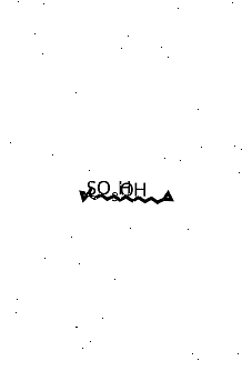 O=S(=O)(O)C1(CCCCCC(O)CCCCCC2CC2)CC1